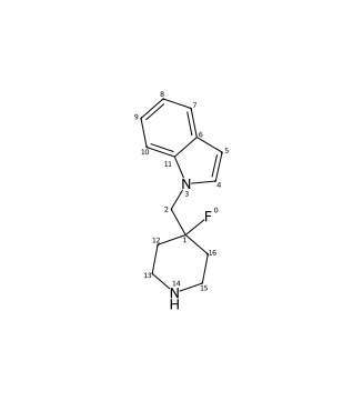 FC1(Cn2ccc3ccccc32)CCNCC1